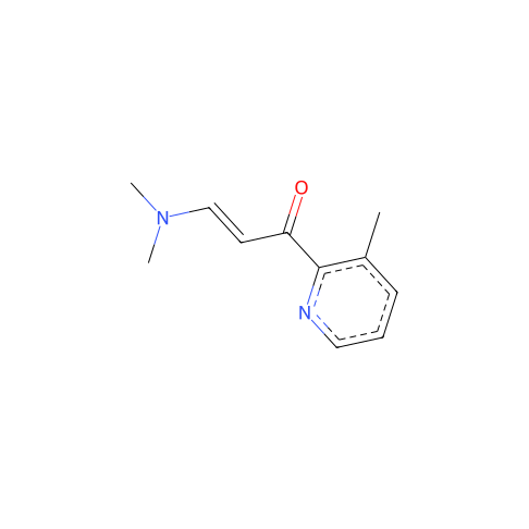 Cc1cccnc1C(=O)C=CN(C)C